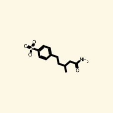 CC(CCc1ccc(S(=O)(=O)Cl)cc1)CC(N)=O